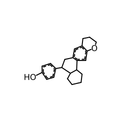 Oc1ccc(C2Cc3cc4c(cc3C3CCCCC23)OCCC4)cc1